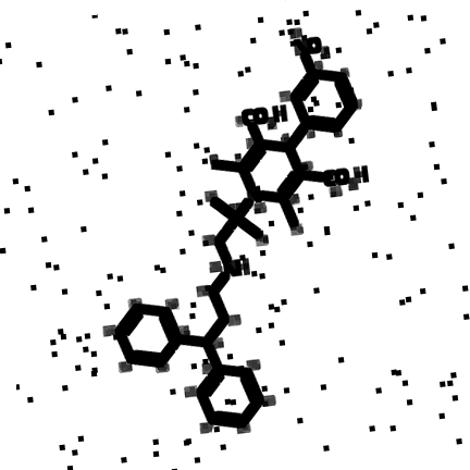 CC1=C(C(=O)O)C(c2cccc([N+](=O)[O-])c2)C(C(=O)O)=C(C)N1C(C)(C)CNCCC(c1ccccc1)c1ccccc1